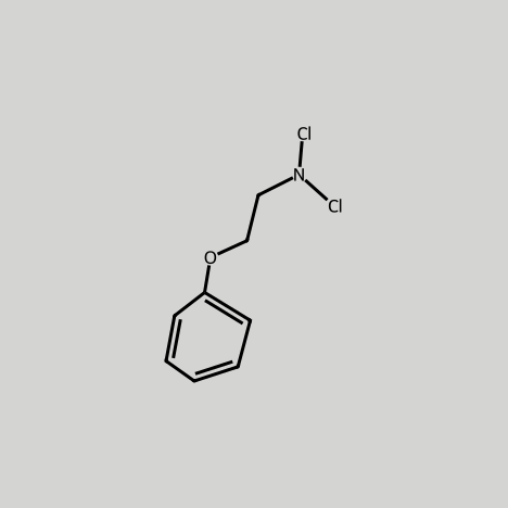 ClN(Cl)CCOc1ccccc1